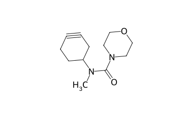 CN(C(=O)N1CCOCC1)C1CC#CCC1